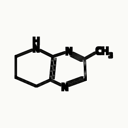 Cc1cnc2c(n1)NCCC2